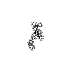 c1ccc(-n2c3ccccc3c3ccc(N(c4ccc5cc(-c6ccc7sc8ccccc8c7c6)ccc5c4)c4cccc5c4sc4ccccc45)cc32)cc1